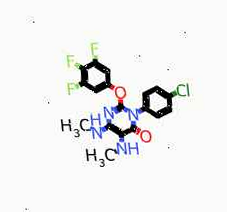 CNc1nc(Oc2cc(F)c(F)c(F)c2)n(-c2ccc(Cl)cc2)c(=O)c1NC